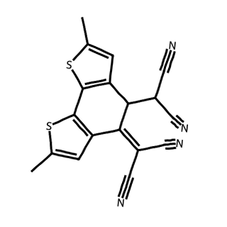 Cc1cc2c(s1)-c1sc(C)cc1C(C(C#N)C#N)C2=C(C#N)C#N